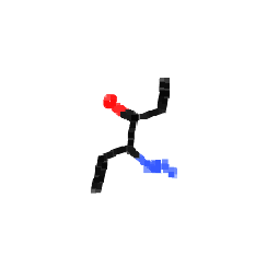 C=C[C](N)C(=O)C=C